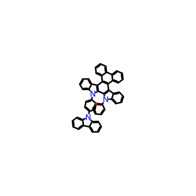 c1ccc(-n2c3ccccc3c3c4c5ccccc5c5ccccc5c4c4c5ccccc5n(-c5ccc(-n6c7ccccc7c7ccccc76)cc5)c4c32)cc1